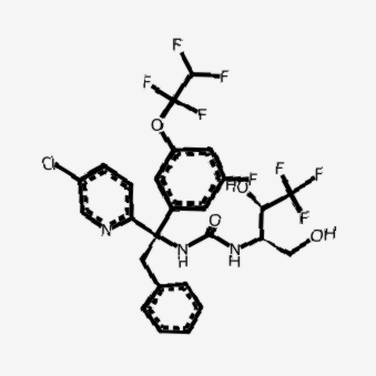 O=C(N[C@H](CO)[C@@H](O)C(F)(F)F)N[C@@](Cc1ccccc1)(c1cc(F)cc(OC(F)(F)C(F)F)c1)c1ccc(Cl)cn1